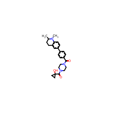 CC1CCc2cc(-c3ccc(C(=O)N4CCN(C(=O)C5(O)CC5)CC4)cc3)ccc2N1C